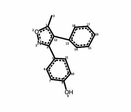 Cc1onc(-c2ccc(O)cc2)c1-c1ccccc1